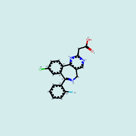 O=C(O)Cc1ncc2c(n1)-c1ccc(Cl)cc1C(c1ccccc1F)=NC2